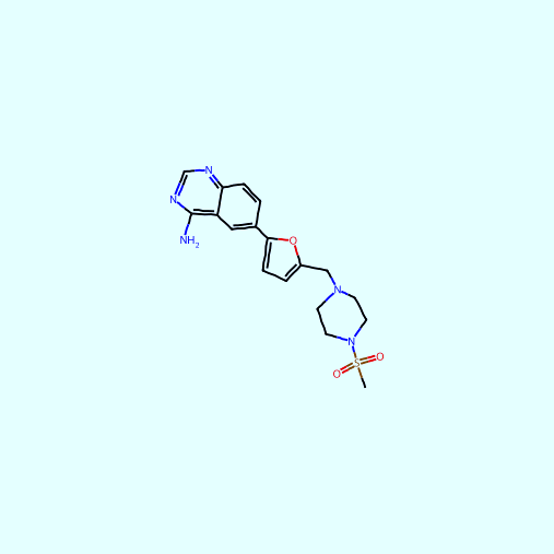 CS(=O)(=O)N1CCN(Cc2ccc(-c3ccc4ncnc(N)c4c3)o2)CC1